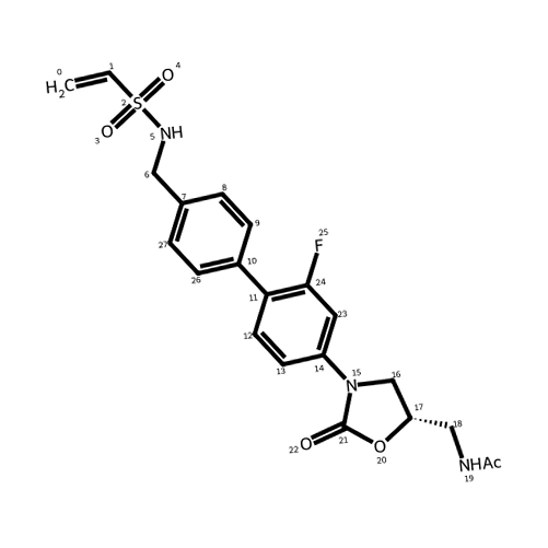 C=CS(=O)(=O)NCc1ccc(-c2ccc(N3C[C@H](CNC(C)=O)OC3=O)cc2F)cc1